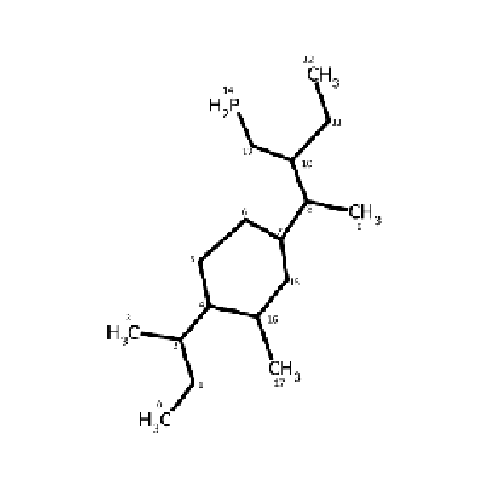 CCC(C)C1CCC(C(C)C(CC)CP)CC1C